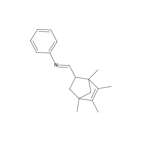 CC1=C(C)C2(C)CC1(C)CC2/C=N/c1ccccc1